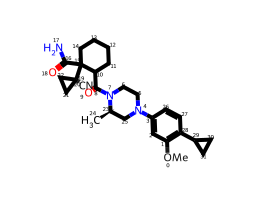 COc1cc(N2CCN(C(=O)C3CCCCC3(C(N)=O)C3(C#N)CC3)[C@H](C)C2)ccc1C1CC1